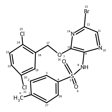 Cc1ccc(S(=O)(=O)Nc2ncc(Br)nc2OCc2cc(Cl)ccc2Cl)cc1